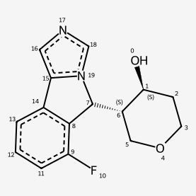 O[C@H]1CCOC[C@@H]1C1c2c(F)cccc2-c2cncn21